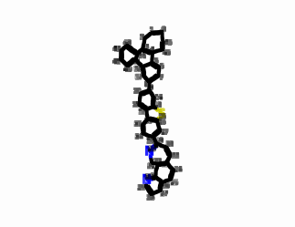 C1=CCc2c(c3ccc(-c4ccc5c(c4)sc4cc(C6=NCc7c(ccc8cccnc78)C=C6)ccc45)cc3c3ccccc23)C=C1